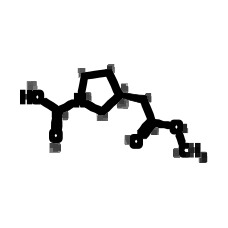 COC(=O)C[C@@H]1CCN(C(=O)O)C1